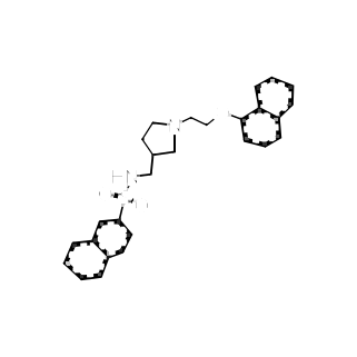 O=S(=O)(NCC1CCN(CCOc2cccc3ccccc23)C1)c1ccc2ccccc2c1